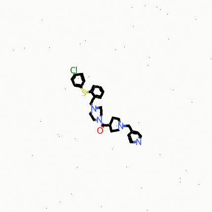 O=C(C1CCN(Cc2ccncc2)CC1)N1CCN(Cc2ccccc2Sc2ccc(Cl)cc2)CC1